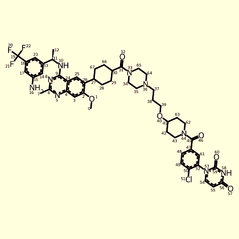 COc1cc2nc(C)nc(N[C@H](C)c3cc(N)cc(C(F)(F)F)c3)c2cc1C1CCC(C(=O)N2CCN(CCCOC3CCN(C(=O)c4ccc(Cl)c(-n5ccc(=O)[nH]c5=O)c4)CC3)CC2)CC1